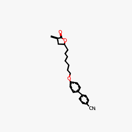 C=C1CC(CCCCCCCOc2ccc(-c3ccc(C#N)cc3)cc2)OC1=O